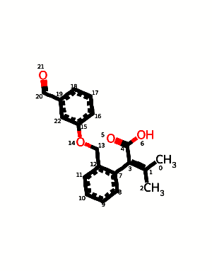 CC(C)=C(C(=O)O)c1ccccc1COc1cccc(C=O)c1